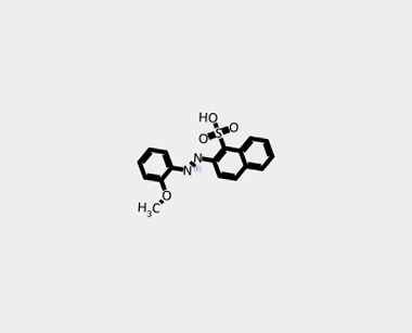 COc1ccccc1/N=N/c1ccc2ccccc2c1S(=O)(=O)O